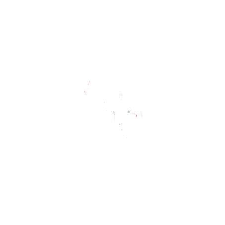 CCC/C=C/[C@@H]1[C@H]2CC(CCC(=O)OC)=C[C@H]2C[C@H]1O